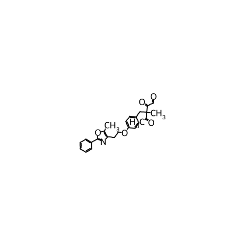 CC(=O)C(C)(Cc1ccc(OCCc2nc(-c3ccccc3)oc2C)cc1)C(=O)C=O